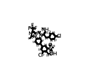 Cc1nc(C(F)(F)F)cn1-c1ccc(-c2cc(Cl)c(CO)c(S(C)(=O)=O)c2)cc1N(N)/C(=C\N)Cc1ccc(Cl)cc1